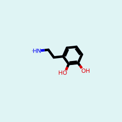 [NH]CCc1cccc(O)c1O